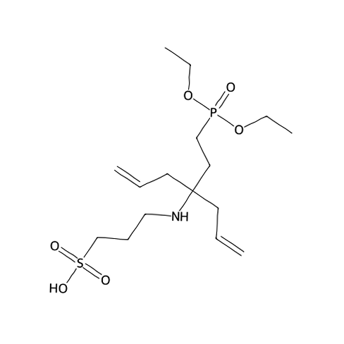 C=CCC(CC=C)(CCP(=O)(OCC)OCC)NCCCS(=O)(=O)O